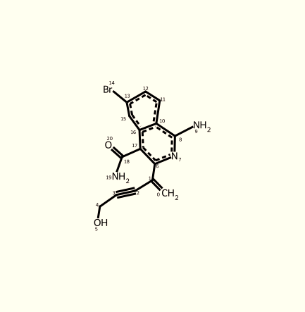 C=C(C#CCO)c1nc(N)c2ccc(Br)cc2c1C(N)=O